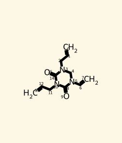 C=CCN1CN(C=C)C(=O)N(CC=C)C1=O